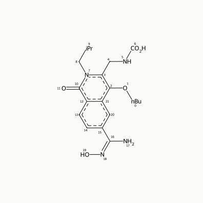 CCCCOc1c(CNC(=O)O)n(CC(C)C)c(=O)c2ccc(/C(N)=N\O)cc12